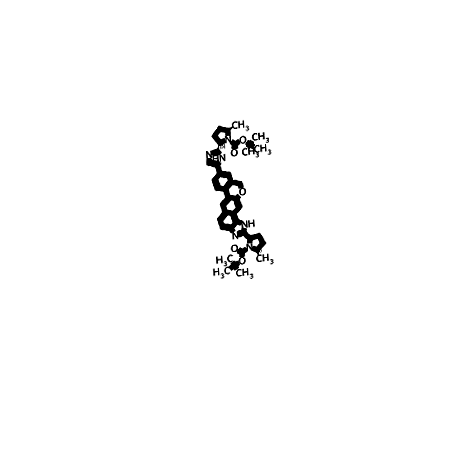 C[C@H]1CCC(c2nc3ccc4cc5c(cc4c3[nH]2)OCc2cc(-c3cnc([C@@H]4CC[C@H](C)N4C(=O)OC(C)(C)C)[nH]3)ccc2-5)N1C(=O)OC(C)(C)C